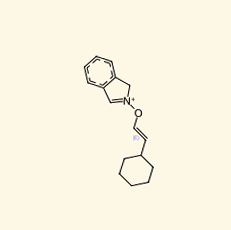 C1=[N+](O/C=C/C2CCCCC2)Cc2ccccc21